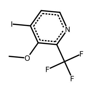 COc1c(I)ccnc1C(F)(F)F